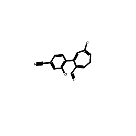 N#Cc1ccc(C2=CC(Cl)=CCC=C2C=O)c(Cl)c1